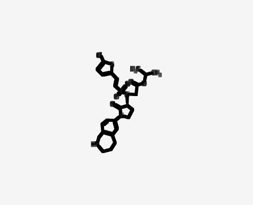 CC(C)OC(=O)CN([C@H]1CCN(c2ccc3c(c2)CCCNC3)C1=O)S(=O)(=O)/C=C/c1ccc(Cl)s1